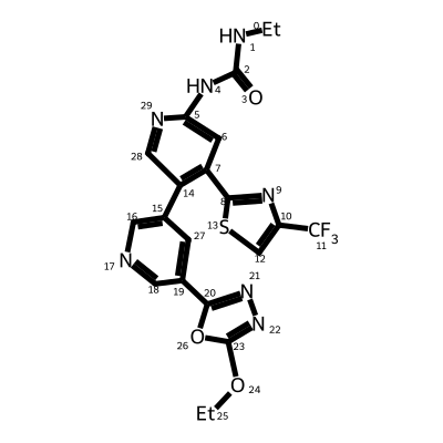 CCNC(=O)Nc1cc(-c2nc(C(F)(F)F)cs2)c(-c2cncc(-c3nnc(OCC)o3)c2)cn1